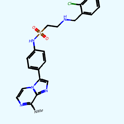 CNc1nccn2c(-c3ccc(NS(=O)(=O)CCNCc4ccccc4Cl)cc3)cnc12